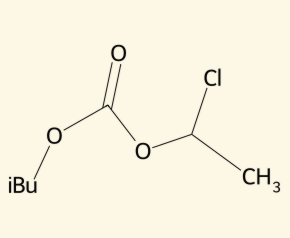 CCC(C)OC(=O)OC(C)Cl